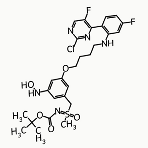 CC(C)(C)OC(=O)N=S(C)(=O)Cc1cc(NO)cc(OCCCCNc2cc(F)ccc2-c2nc(Cl)ncc2F)c1